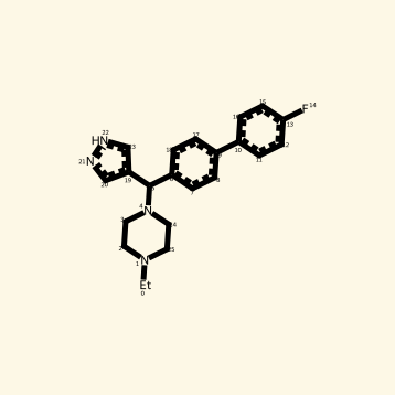 CCN1CCN(C(c2ccc(-c3ccc(F)cc3)cc2)c2cn[nH]c2)CC1